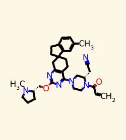 C=CC(=O)N1CCN(c2nc(OC[C@@H]3CCCN3C)nc3c2CCC2(CCc4ccc(C)cc42)C3)C[C@@H]1CC#N